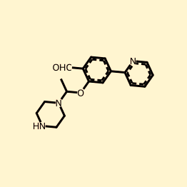 CC(Oc1cc(-c2ccccn2)ccc1C=O)N1CCNCC1